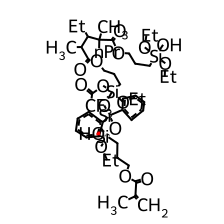 C=C(C)C(=O)OCCC[Si](O)(OCC)O[Si](O[Si](CCCOC(=O)C(C)C(CC)C(C)(CCC)C(=O)OCCC[Si](O)(OCC)OCC)(OCC)OC(=O)C(F)(F)F)(c1ccccc1)c1ccccc1